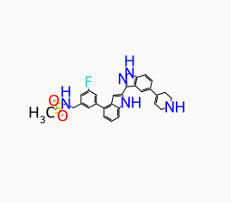 CS(=O)(=O)NCc1cc(F)cc(-c2cccc3[nH]c(-c4n[nH]c5ccc(C6=CCNCC6)cc45)cc23)c1